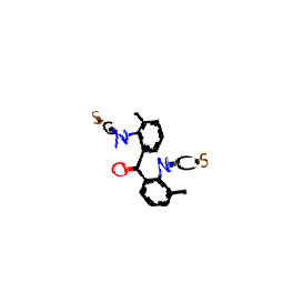 Cc1cccc(C(=O)c2cccc(C)c2N=C=S)c1N=C=S